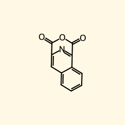 O=C1OC(=O)c2nc1cc1ccccc21